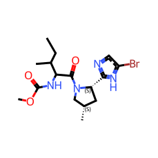 CCC(C)C(NC(=O)OC)C(=O)N1C[C@@H](C)C[C@H]1c1ncc(Br)[nH]1